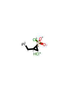 CC(C)CC1CC1S(=O)(=O)Cl.Cl